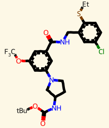 CCSc1ccc(Cl)cc1CNC(=O)c1cc(OC(F)(F)F)cc(N2CCC(NC(=O)OC(C)(C)C)C2)c1